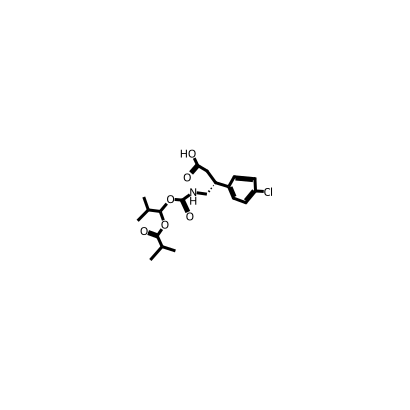 CC(C)C(=O)OC(OC(=O)NC[C@H](CC(=O)O)c1ccc(Cl)cc1)C(C)C